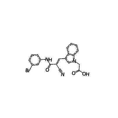 N#C/C(=C\c1cn(CC(=O)O)c2ccccc12)C(=O)Nc1cccc(Br)c1